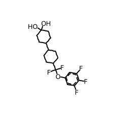 OC1(O)CCC(C2CCC(C(F)(F)Oc3cc(F)c(F)c(F)c3)CC2)CC1